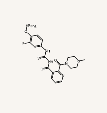 CCCCCOc1ccc(NC(=S)NC(=O)c2cccnc2C(=O)N2CCN(C)CC2)cc1F